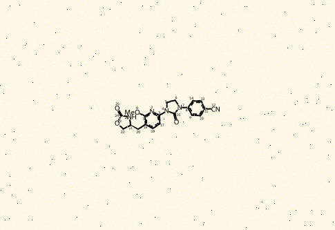 COc1nc(N2CCN(c3ccc(C#N)cc3)C2=O)ccc1C[C@H]1COC(=O)N1